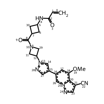 C=CC(=O)NC1CC(C(=O)N2CC(n3cc(-c4cc(OC)c5c(C#N)cnn5c4)cn3)C2)C1